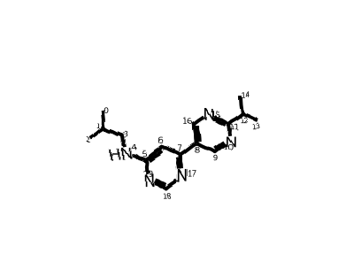 CC(C)CNc1cc(-c2cnc(C(C)C)nc2)ncn1